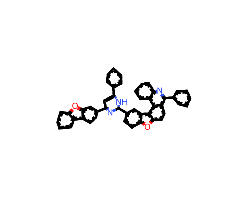 C1=C(c2ccccc2)NC(c2ccc3oc4ccc5c(-c6ccccc6)nc6ccccc6c5c4c3c2)N=C1c1ccc2c(c1)oc1ccccc12